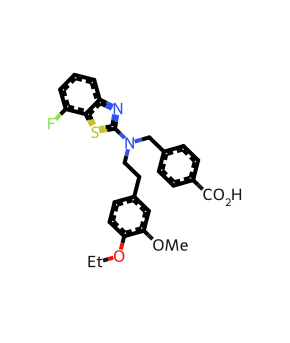 CCOc1ccc(CCN(Cc2ccc(C(=O)O)cc2)c2nc3cccc(F)c3s2)cc1OC